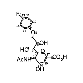 CC(=O)N[C@H]1[C@H]([C@H](O)[C@H](O)COc2ccc(F)cc2)OC(C(=O)O)=C[C@@H]1O